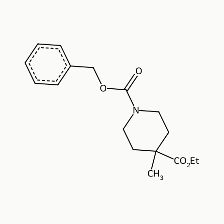 CCOC(=O)C1(C)CCN(C(=O)OCc2ccccc2)CC1